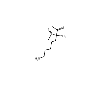 CC(=S)C(N)(CCCCCN)C(C)=S